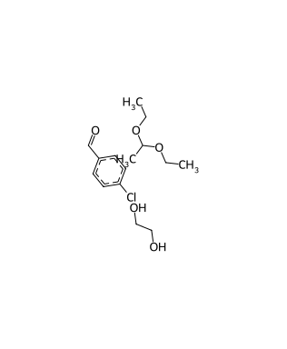 CCOC(C)OCC.O=Cc1ccc(Cl)cc1.OCCO